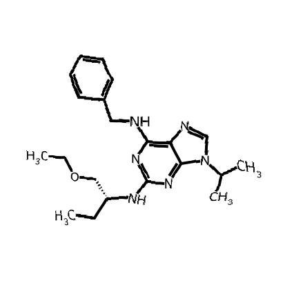 CCOC[C@@H](CC)Nc1nc(NCc2ccccc2)c2ncn(C(C)C)c2n1